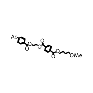 COCCCCOC(=O)c1ccc(C(=O)OCCOC(=O)c2ccc(C(C)=O)cc2)cc1